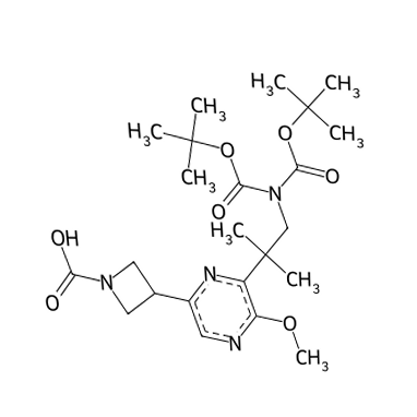 COc1ncc(C2CN(C(=O)O)C2)nc1C(C)(C)CN(C(=O)OC(C)(C)C)C(=O)OC(C)(C)C